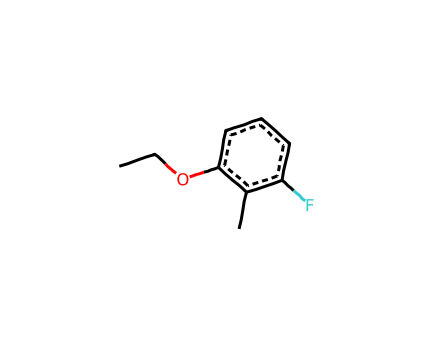 CCOc1cccc(F)c1C